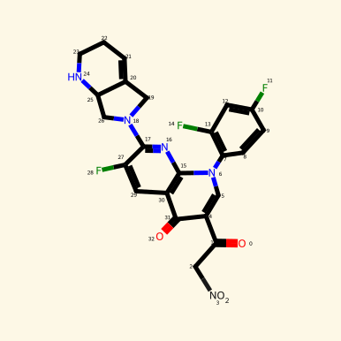 O=C(C[N+](=O)[O-])c1cn(-c2ccc(F)cc2F)c2nc(N3CC4=CCCNC4C3)c(F)cc2c1=O